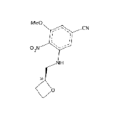 COc1cc(C#N)cc(NC[C@@H]2CCO2)c1[N+](=O)[O-]